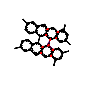 Cc1cc(C)cc(P(c2cc(C)cc(C)c2)c2ccc3cc(C)ccc3c2-c2c(P(c3cc(C)cc(C)c3)c3cc(C)cc(C)c3)ccc3cc(C)ccc23)c1